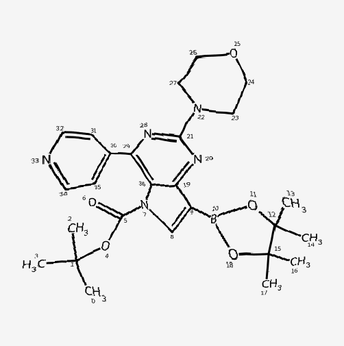 CC(C)(C)OC(=O)n1cc(B2OC(C)(C)C(C)(C)O2)c2nc(N3CCOCC3)nc(-c3ccncc3)c21